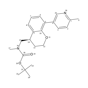 Cc1ccc(-c2cccc3c2OCC[C@H]3CN(C)C(=O)OC(C)(C)C)cn1